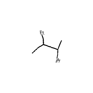 CCC(C)C(C)C(C)C